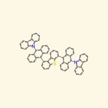 c1cc(-c2c3ccccc3c(-n3c4ccccc4c4ccccc43)c3ccccc23)c2c(c1)sc1c(-c3c4ccccc4c(-n4c5ccccc5c5ccccc54)c4ccccc34)cccc12